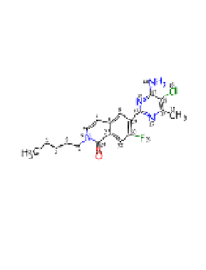 CCCCCn1ccc2cc(-c3nc(C)c(Cl)c(N)n3)c(F)cc2c1=O